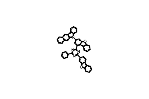 c1ccc(-c2nc(-c3ccc4c(c3)oc3ccccc34)nc(-c3cc(-n4c5ccccc5c5cc6ccccc6cc54)cc4oc5ccccc5c34)n2)cc1